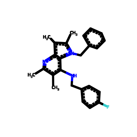 Cc1nc2c(C)c(C)n(Cc3ccccc3)c2c(NCc2ccc(F)cc2)c1C